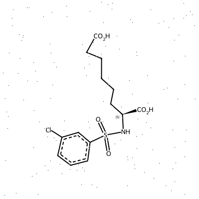 O=C(O)CCCCC[C@H](NS(=O)(=O)c1cccc(Cl)c1)C(=O)O